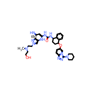 CN(CCO)CCn1cc(N/C(=C\C(=N)C(C)(C)C)NC(=O)NC2CCC(Oc3ccc4nnc(N5CCCCC5)n4c3)c3ccccc32)cn1